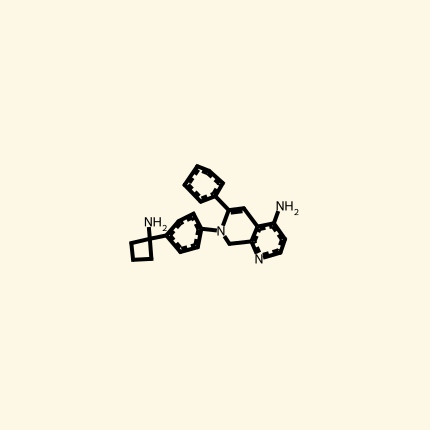 Nc1ccnc2c1C=C(c1ccccc1)N(c1ccc(C3(N)CCC3)cc1)C2